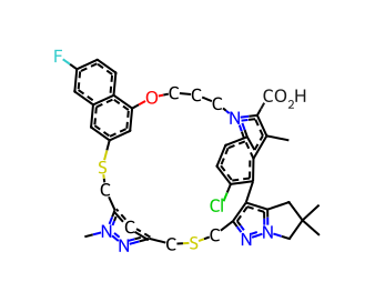 Cc1c(C(=O)O)n2c3ccc(Cl)c(c13)-c1c(nn3c1CC(C)(C)C3)CSCc1cc(n(C)n1)CSc1cc(c3ccc(F)cc3c1)OCCC2